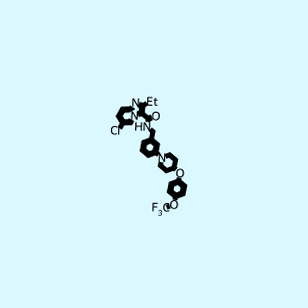 CCc1nc2ccc(Cl)cn2c1C(=O)NCc1cccc(N2CCC(Oc3ccc(OC(F)(F)F)cc3)CC2)c1